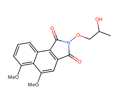 COc1cccc2c3c(cc(OC)c12)C(=O)N(OCC(C)O)C3=O